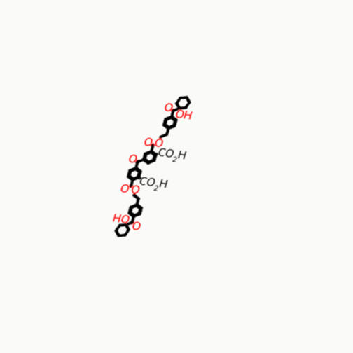 O=C(c1ccc(C(=O)OCCc2ccc(C(=O)C3(O)CCCCC3)cc2)c(C(=O)O)c1)c1ccc(C(=O)O)c(C(=O)OCCc2ccc(C(=O)C3(O)CCCCC3)cc2)c1